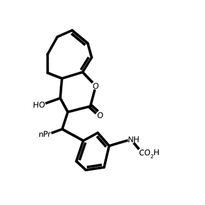 CCCC(c1cccc(NC(=O)O)c1)C1C(=O)OC2=CC=CCCCC2C1O